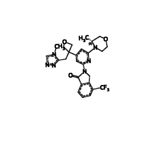 C[C@@H]1COCCN1c1cc(C2(Cc3nncn3C)COC2)cc(N2Cc3c(cccc3C(F)(F)F)C2=O)n1